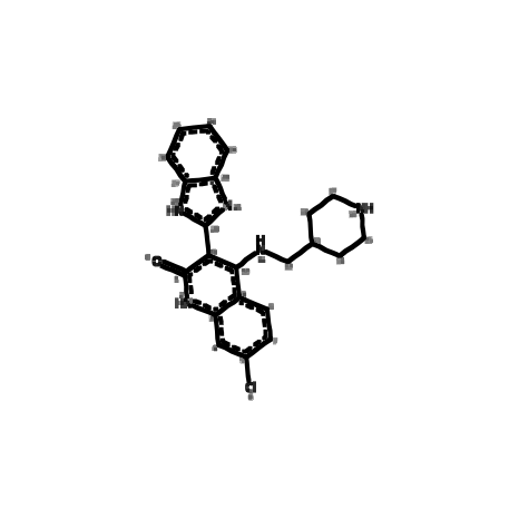 O=c1[nH]c2cc(Cl)ccc2c(NCC2CCNCC2)c1-c1nc2ccccc2[nH]1